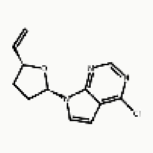 C=C[C@@H]1CC[C@H](n2ccc3c(Cl)ncnc32)O1